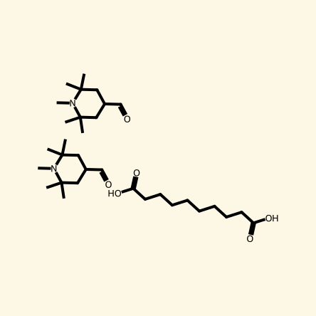 CN1C(C)(C)CC(C=O)CC1(C)C.CN1C(C)(C)CC(C=O)CC1(C)C.O=C(O)CCCCCCCCC(=O)O